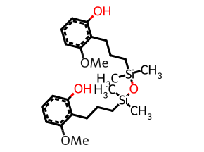 COc1cccc(O)c1CCC[Si](C)(C)O[Si](C)(C)CCCc1c(O)cccc1OC